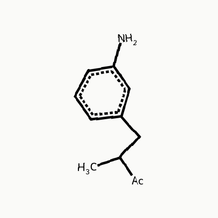 CC(=O)C(C)Cc1cccc(N)c1